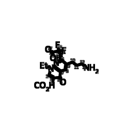 CCn1cc(C(=O)O)c(=O)c2cc(CCCN)cnc21.O=C(O)C(F)(F)F